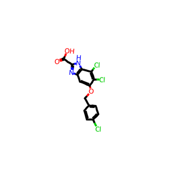 O=C(O)c1nc2cc(OCc3ccc(Cl)cc3)c(Cl)c(Cl)c2[nH]1